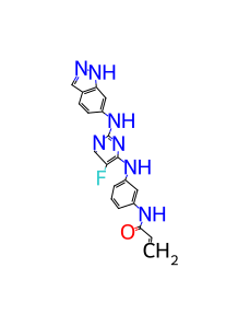 C=CC(=O)Nc1cccc(Nc2nc(Nc3ccc4cn[nH]c4c3)ncc2F)c1